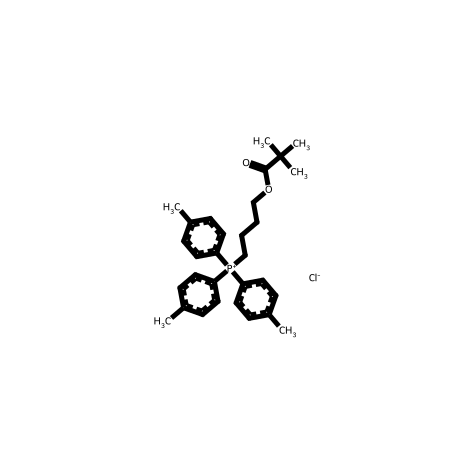 Cc1ccc([P+](CCCCOC(=O)C(C)(C)C)(c2ccc(C)cc2)c2ccc(C)cc2)cc1.[Cl-]